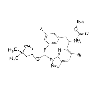 CC(C)(C)OC(=O)NC(Cc1cc(F)cc(F)c1)c1nc2c(cnn2COCC[Si](C)(C)C)cc1Br